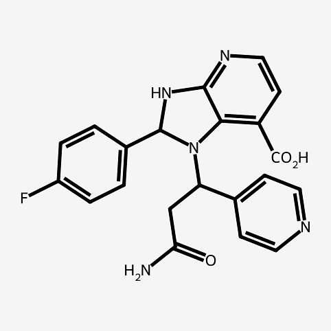 NC(=O)CC(c1ccncc1)N1c2c(C(=O)O)ccnc2NC1c1ccc(F)cc1